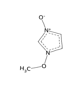 COn1cc[n+]([O-])c1